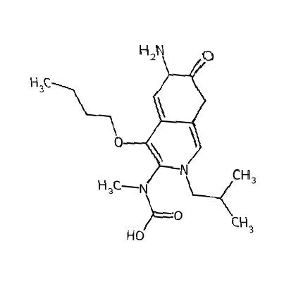 CCCCOC1=C(N(C)C(=O)O)N(CC(C)C)C=C2CC(=O)C(N)C=C21